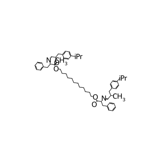 CC(/C=N\C(Cc1ccccc1)C(=O)OCCCCCCCCCCCCOC(=O)C(Cc1ccccc1)/N=C/C(C)Cc1ccc(C(C)C)cc1)Cc1ccc(C(C)C)cc1